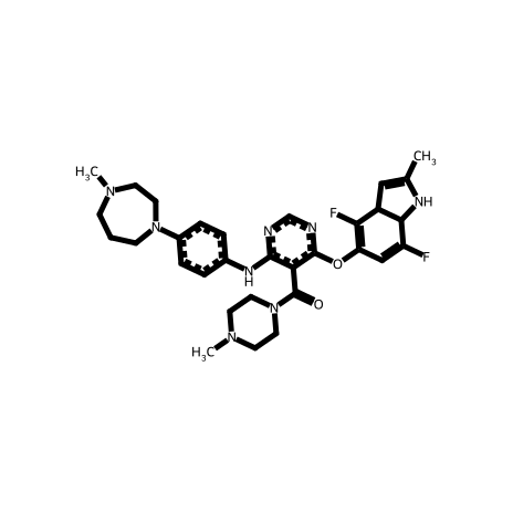 CC1=CC2C(F)=C(Oc3ncnc(Nc4ccc(N5CCCN(C)CC5)cc4)c3C(=O)N3CCN(C)CC3)C=C(F)C2N1